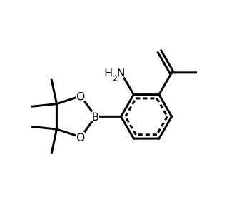 C=C(C)c1cccc(B2OC(C)(C)C(C)(C)O2)c1N